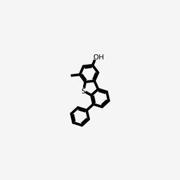 Cc1cc(O)cc2c1sc1c(-c3ccccc3)cccc12